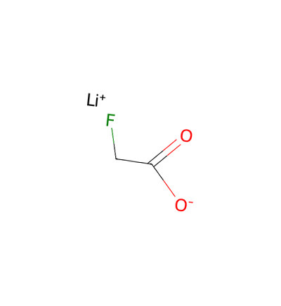 O=C([O-])CF.[Li+]